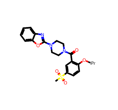 CC(C)Oc1ccc(S(C)(=O)=O)cc1C(=O)N1CCN(c2nc3ccccc3o2)CC1